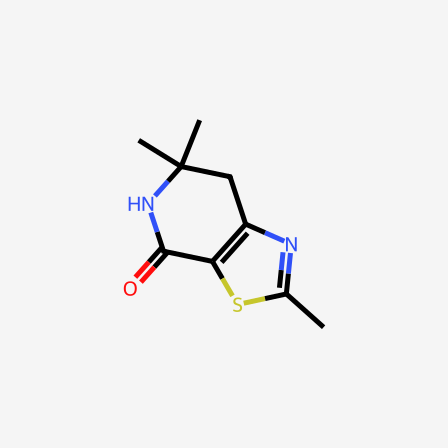 Cc1nc2c(s1)C(=O)NC(C)(C)C2